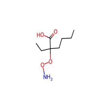 CCCCC(CC)(OON)C(=O)O